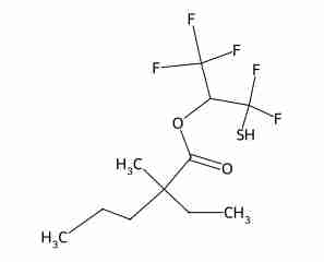 CCCC(C)(CC)C(=O)OC(C(F)(F)F)C(F)(F)S